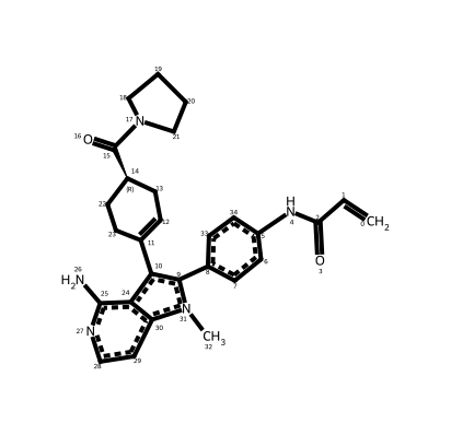 C=CC(=O)Nc1ccc(-c2c(C3=CC[C@H](C(=O)N4CCCC4)CC3)c3c(N)nccc3n2C)cc1